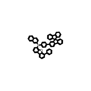 C1=CC2=C(CC1)c1ccccc1C21c2ccccc2-c2ccc(-c3ccc(N(c4ccc5ccccc5c4)c4cccc5c4oc4c(-c6ccccc6)cccc45)cc3)cc21